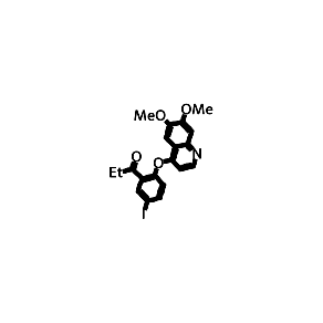 CCC(=O)c1cc(I)ccc1Oc1ccnc2cc(OC)c(OC)cc12